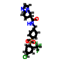 O=C(NCc1ccc(S(=O)(=O)c2ccc(Cl)cc2C(F)(F)F)cc1)c1ccc2nccn2c1